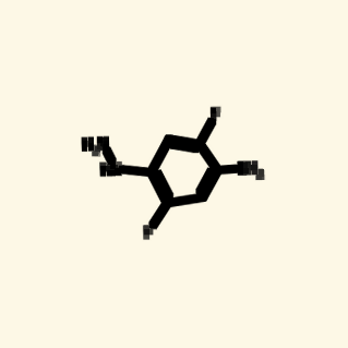 Bc1cc(F)c(NN)cc1F